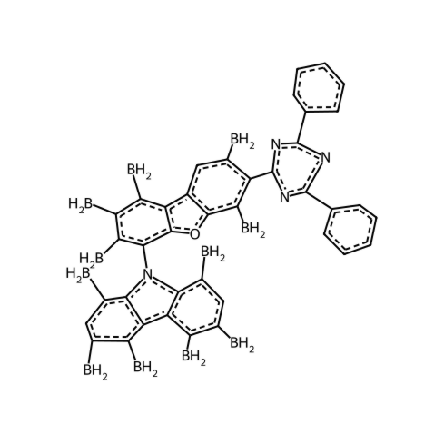 Bc1cc2c(oc3c(-n4c5c(B)cc(B)c(B)c5c5c(B)c(B)cc(B)c54)c(B)c(B)c(B)c32)c(B)c1-c1nc(-c2ccccc2)nc(-c2ccccc2)n1